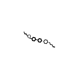 C=CCCC[C@H]1CC[C@H](c2ccc(-c3ccc(COCC=CC)cc3)cc2)CC1